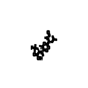 CC(C)C[C@@H](C(=O)O[C@H](C)C(=O)N(C)[C@@H](CC(C)(C)F)C(=O)O)N(C)C=O